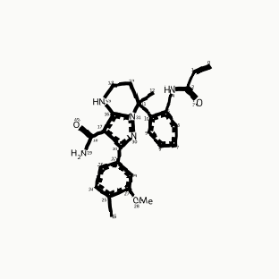 C=CC(=O)Nc1ccccc1C1(C)CCNc2c(C(N)=O)c(-c3ccc(C)c(OC)c3)nn21